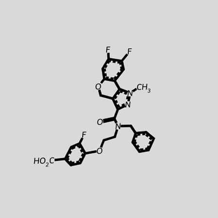 Cn1nc(C(=O)N(CCOc2ccc(C(=O)O)cc2F)Cc2ccccc2)c2c1-c1cc(F)c(F)cc1OC2